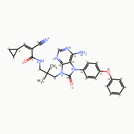 CC(C)(CNC(=O)/C(C#N)=C\C1CC1)Cn1c(=O)n(-c2ccc(Oc3ccccc3)cc2)c2c(N)ncnc21